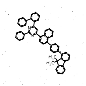 CC1(C)c2ccccc2-c2cccc(-c3ccc(-c4ccc(-c5cc(-c6ccccc6-c6ccccc6)nc(-c6ccccc6)n5)c5ccccc45)cc3)c21